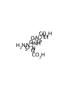 CCSC1(C(=O)O)CS[C@@H]2C(NC(=O)C(=NOCC(=O)O)c3csc(N)n3)C(=O)N2C1